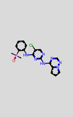 CP(C)(=O)c1ccccc1Nc1nc(Nc2ncnn3cccc23)ncc1Cl